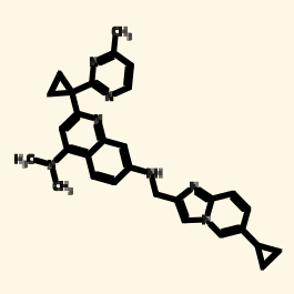 Cc1ccnc(C2(c3cc(N(C)C)c4ccc(NCc5cn6cc(C7CC7)ccc6n5)cc4n3)CC2)n1